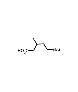 CCCCCCC(C)CC(=O)O